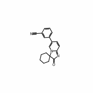 N#Cc1cccc(C2=CN3C(=NC(=O)C34CCCCC4)C=C2)c1